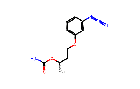 CC(C)(C)C(CCOc1cccc(N=[N+]=[N-])c1)OC(N)=O